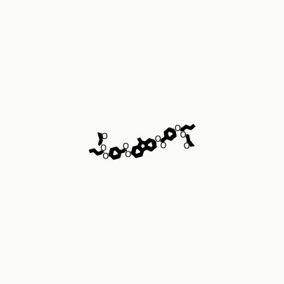 CCCC(OCC1CO1)Oc1ccc(C(=O)Oc2ccc3c(c2)C(C)c2cc(OC(=O)c4ccc(OC(CCC)OCC5CO5)cc4)ccc2-3)cc1